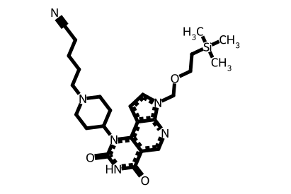 C[Si](C)(C)CCOCn1ccc2c1ncc1c(=O)[nH]c(=O)n(C3CCN(CCCCC#N)CC3)c12